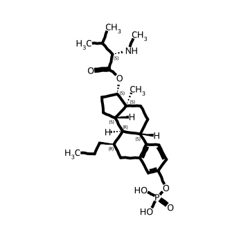 CCC[C@@H]1Cc2cc(OP(=O)(O)O)ccc2[C@H]2CC[C@]3(C)[C@@H](OC(=O)[C@@H](NC)C(C)C)CC[C@H]3[C@H]12